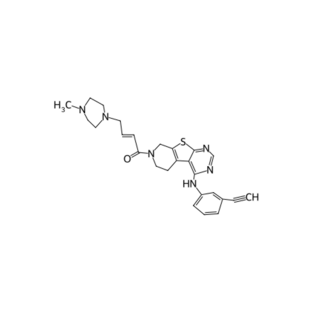 C#Cc1cccc(Nc2ncnc3sc4c(c23)CCN(C(=O)C=CCN2CCN(C)CC2)C4)c1